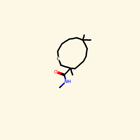 CNC(=O)C1(C)CCCCCCC(C)(C)CCCC1